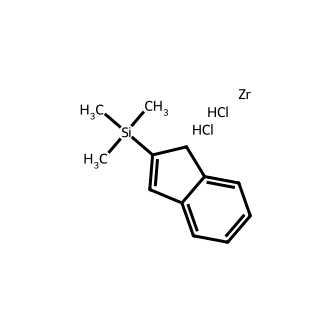 C[Si](C)(C)C1=Cc2ccccc2C1.Cl.Cl.[Zr]